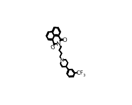 O=C1c2cccc3cccc(c23)C(=O)N1CCCCN1CCC(c2cccc(C(F)(F)F)c2)CC1